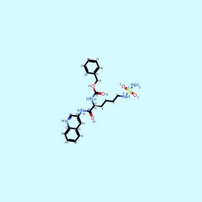 NS(=O)(=O)NCCCC[C@H](NC(=O)OCc1ccccc1)C(=O)Nc1cnc2ccccc2c1